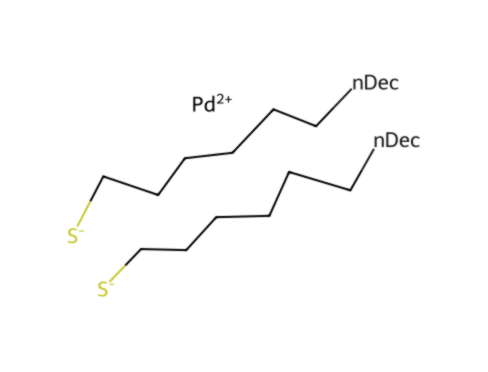 CCCCCCCCCCCCCCCC[S-].CCCCCCCCCCCCCCCC[S-].[Pd+2]